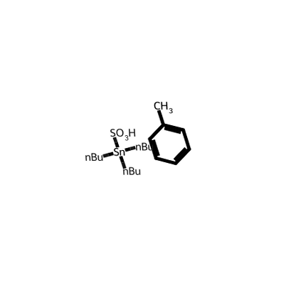 CCC[CH2][Sn]([CH2]CCC)([CH2]CCC)[S](=O)(=O)O.Cc1ccccc1